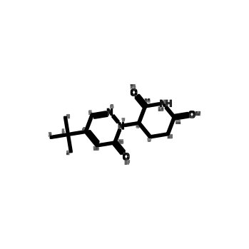 CC(C)(C)c1cnn(C2CCC(=O)NC2=O)c(=O)c1